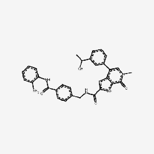 CC(O)c1cccc(-c2cn(C)c(=O)c3[nH]c(C(=O)NCc4ccc(C(=O)Nc5ccccc5N)cc4)cc23)c1